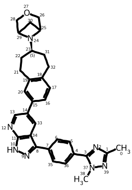 Cc1nc(-c2ccc(-c3n[nH]c4ncc(-c5ccc6c(c5)CC[C@@H](N5C7COCC5C7)CC6)cc34)cc2)n(C)n1